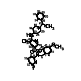 COc1ccc(CN(c2cccc(F)n2)S(=O)(=O)c2cnc(NC3CCN(C(C)c4ccccc4)CC3)c(Cl)c2)cc1